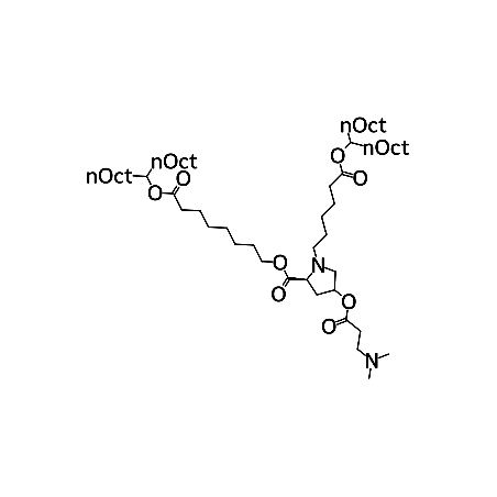 CCCCCCCCC(CCCCCCCC)OC(=O)CCCCCCCOC(=O)[C@@H]1CC(OC(=O)CCN(C)C)CN1CCCCCC(=O)OC(CCCCCCCC)CCCCCCCC